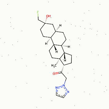 C[C@]12CC[C@H]3[C@@H](CC[C@@H]4C[C@](O)(CF)CC[C@@H]43)[C@@H]1CC[C@@H]2C(=O)Cn1nccn1